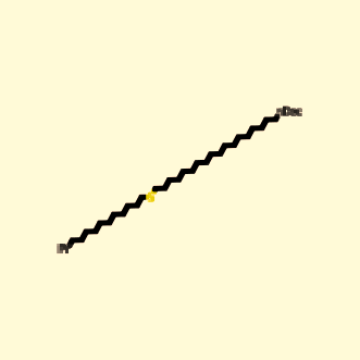 [CH2]CCCCCCCCCCCCCCCCCCCCCCCCCCCSCCCCCCCCCCCC(C)C